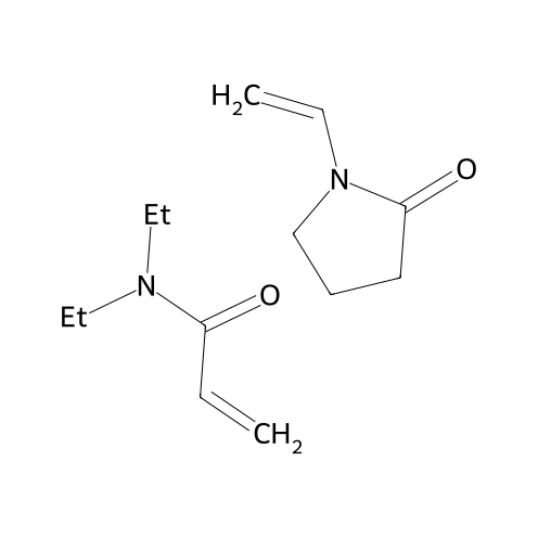 C=CC(=O)N(CC)CC.C=CN1CCCC1=O